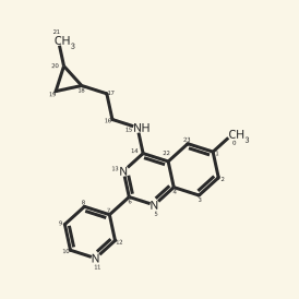 Cc1ccc2nc(-c3cccnc3)nc(NCCC3CC3C)c2c1